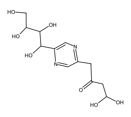 O=C(Cc1cnc(C(O)C(O)C(O)CO)cn1)CC(O)O